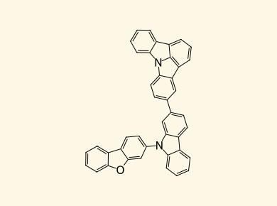 c1ccc2c(c1)oc1cc(-n3c4ccccc4c4ccc(-c5ccc6c(c5)c5cccc7c8ccccc8n6c75)cc43)ccc12